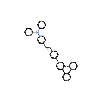 C(=C\c1ccc(N(c2ccccc2)c2ccccc2)cc1)/c1ccc(-c2ccc3c4ccccc4c4ccccc4c3c2)cc1